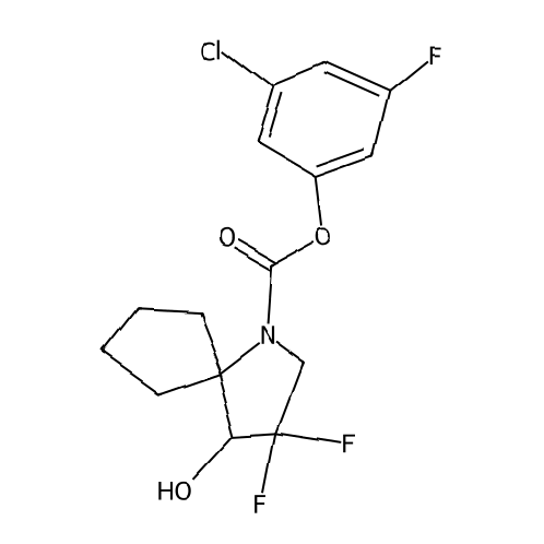 O=C(Oc1cc(F)cc(Cl)c1)N1CC(F)(F)C(O)C12CCCC2